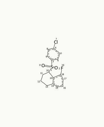 O=S(=O)(c1ccc(Cl)cc1)C1CCCc2cccc(F)c21